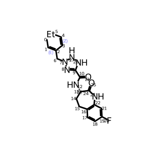 C/C=C(\C=C/CC)CN1N=C(C(=O)N[C@H]2CCc3ccc(F)cc3NC2=O)NN1